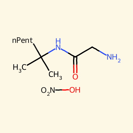 CCCCCC(C)(C)NC(=O)CN.O=[N+]([O-])O